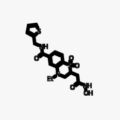 CCN1CC(CC(=O)NO)S(=O)(=O)c2ccc(C(=O)NCc3cccs3)cc21